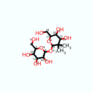 CC1(C)C(OC2OC(CO)C(O)C(O)C2O)OC(CO)C(O)C1O